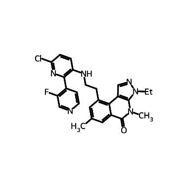 CCn1ncc2c3c(CCNc4ccc(Cl)nc4-c4ccncc4F)cc(C)cc3c(=O)n(C)c21